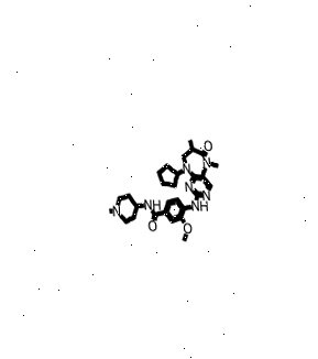 COc1cc(C(=O)NC2CCN(C)CC2)ccc1Nc1ncc2c(n1)N(C1CCCC1)CC(C)C(=O)N2C